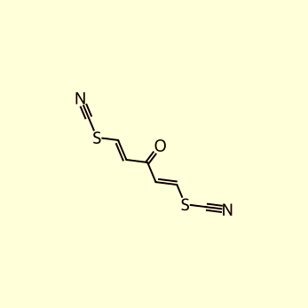 N#CSC=CC(=O)C=CSC#N